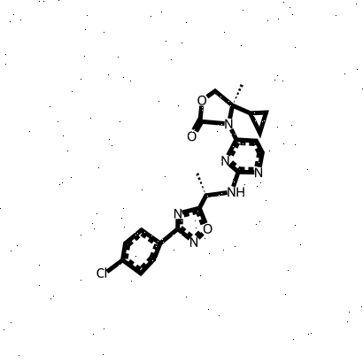 C[C@H](Nc1nccc(N2C(=O)OC[C@@]2(C)C2CC2)n1)c1nc(-c2ccc(Cl)cc2)no1